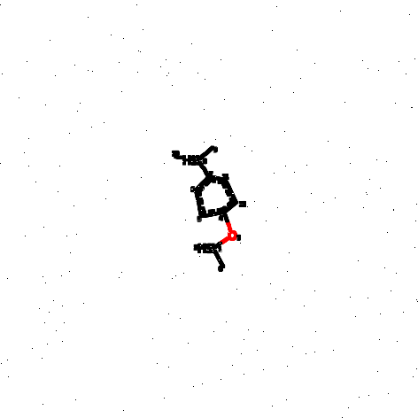 C[SiH](C)Oc1ccc([SiH](C)C)cc1